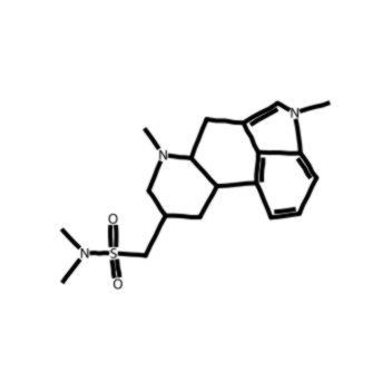 CN1CC(CS(=O)(=O)N(C)C)CC2c3cccc4c3c(cn4C)CC21